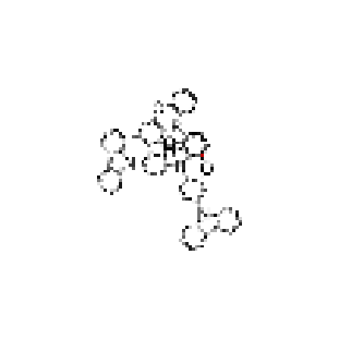 c1ccc2c(c1)Oc1cc(-c3cccc4c5ccccc5n(-c5ccc6c(c5)Oc5cccc7c5B6c5ccc(-n6c8ccccc8c8ccccc86)cc5O7)c34)cc3c1B2c1ccccc1O3